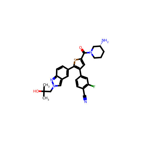 CC(C)(O)Cn1cc2cc(-c3sc(C(=O)N4CCC[C@@H](N)C4)cc3-c3ccc(C#N)c(F)c3)ccc2n1